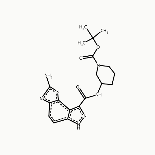 CC(C)(C)OC(=O)N1CCCC(NC(=O)c2n[nH]c3ccc4nc(N)sc4c23)C1